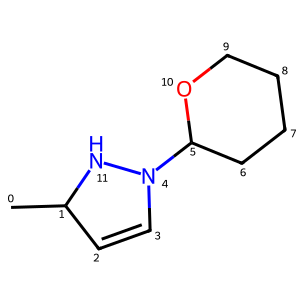 CC1C=CN(C2CCCCO2)N1